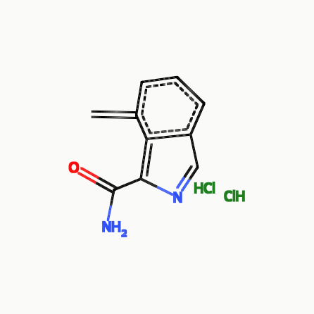 C=c1cccc2c1=C(C(N)=O)N=C2.Cl.Cl